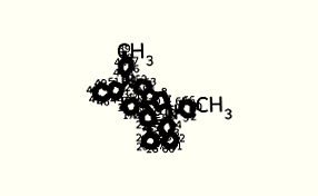 Cc1ccc(N(c2ccc3c(c2)C(c2ccccc2)(c2ccc(-c4ccccc4)cc2)c2cc(N(c4ccc(C)cc4)c4ccc5ccccc5c4)ccc2-3)c2ccc3ccccc3c2)cc1